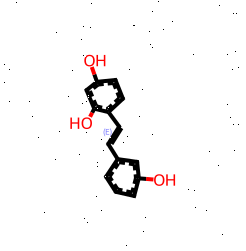 Oc1cccc(/C=C/c2ccc(O)cc2O)c1